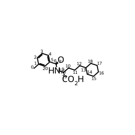 Cc1cccc(C(=O)N[C@@H](CCCC2CCCCC2)C(=O)O)c1